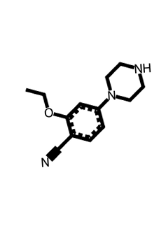 CCOc1cc(N2CCNCC2)ccc1C#N